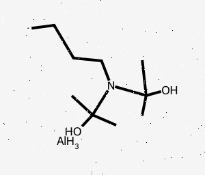 [AlH3].[CH2]CCCN(C(C)(C)O)C(C)(C)O